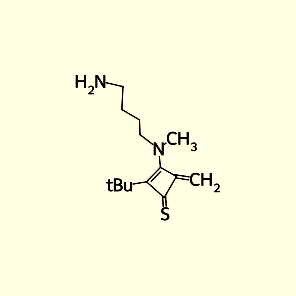 C=C1C(=S)C(C(C)(C)C)=C1N(C)CCCCN